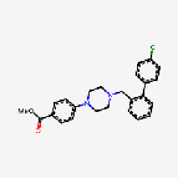 COC(=O)c1ccc(N2CCN(Cc3ccccc3-c3ccc(Cl)cc3)CC2)cc1